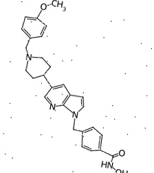 COc1ccc(CN2CCC(c3cnc4c(ccn4Cc4ccc(C(=O)NO)cc4)c3)CC2)cc1